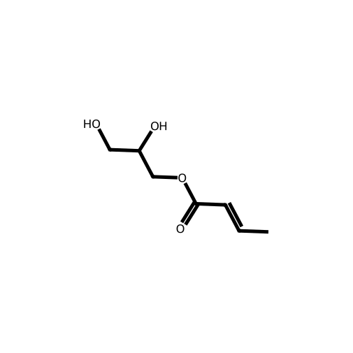 C/C=C/C(=O)OCC(O)CO